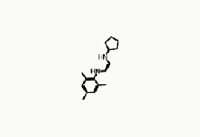 Cc1cc(C)c(N/C=C\NC2CCCC2)c(C)c1